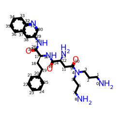 NCCCN(CCCN)C(=O)C[C@H](N)C(=O)N[C@@H](CCc1ccccc1)C(=O)Nc1cnc2ccccc2c1